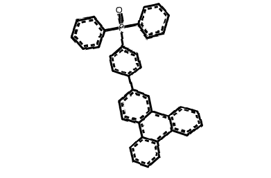 O=P(c1ccccc1)(c1ccccc1)c1ccc(-c2ccc3c4ccccc4c4ccccc4c3c2)cc1